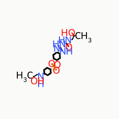 CC(O)CNC(=O)Nc1nc2ccc(OS(=O)(=O)c3ccc(NCC(C)O)cc3)cc2[nH]1